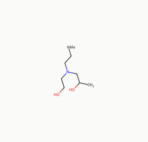 CNCCN(CCO)CC(C)O